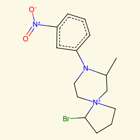 CC1C[N+]2(CCCC2Br)CCN1c1cccc([N+](=O)[O-])c1